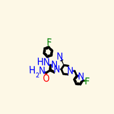 N#C[C@H]1CN(Cc2cccc(F)n2)CC[C@@H]1n1cc(C(N)=O)c(Nc2ccc(F)cc2)n1